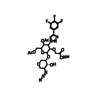 COC(=O)COC1C(O[C@@H]2COCC(N=[N+]=[N-])[C@H]2O)OC(COC(C)=O)C(OC(C)=O)C1n1cc(-c2cc(F)c(F)c(F)c2)nn1